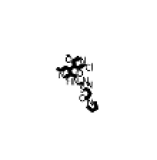 COc1cnc(Cl)cc1-c1cc(C)ncc1C(=O)Nc1nnc(CC(=O)N2CCCC2)s1